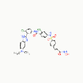 CN(C)c1ccc2[nH]c(-c3cc(NC(=O)c4ccc(NS(=O)(=O)c5ccc(/C=C/C(=O)NO)cc5)cc4Cl)ccc3Cl)nc2c1